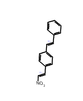 O=[N+]([O-])/C=C/c1ccc(/C=C/c2ccccc2)cc1